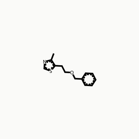 Cc1ncsc1CCOCc1ccccc1